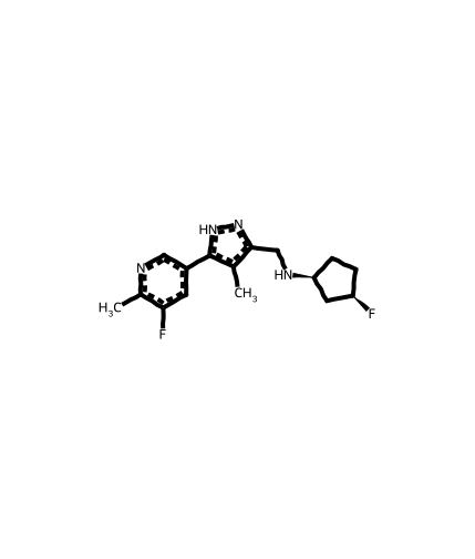 Cc1ncc(-c2[nH]nc(CN[C@H]3CC[C@@H](F)C3)c2C)cc1F